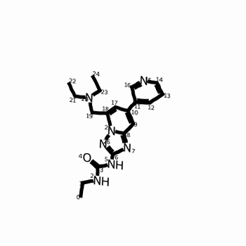 CCNC(=O)Nc1nc2cc(-c3cccnc3)cc(CN(CC)CC)n2n1